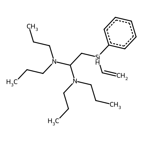 C=C[SiH](CC(N(CCC)CCC)N(CCC)CCC)c1ccccc1